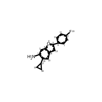 Nc1cc2oc(-c3ccc(F)cc3)cc2cc1C1CC1